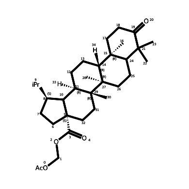 CC(=O)OCOC(=O)[C@]12CC[C@@H](C(C)C)C1[C@H]1CC[C@@H]3[C@@]4(C)CCC(=O)C(C)(C)C4CC[C@@]3(C)[C@]1(C)CC2